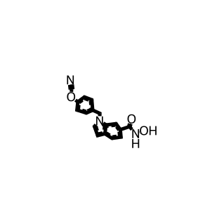 N#COc1ccc(Cn2ccc3ccc(C(=O)NO)cc32)cc1